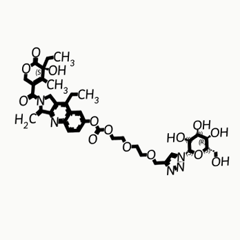 C=C1c2nc3ccc(OC(=O)OCCOCCOCc4cn([C@H]5O[C@@H](CO)[C@H](O)[C@@H](O)[C@@H]5O)nn4)cc3c(CC)c2CN1C(=O)C1=C(C)[C@@](O)(CC)C(=O)OC1